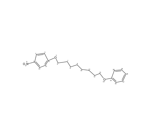 O=[N+]([O-])c1ccc(OCCCCCCCCOc2ccccc2)cc1